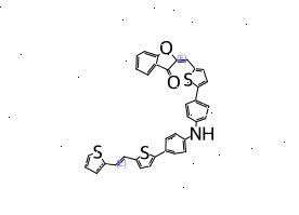 O=C1/C(=C\c2ccc(-c3ccc(Nc4ccc(-c5ccc(/C=C/c6cccs6)s5)cc4)cc3)s2)Oc2ccccc21